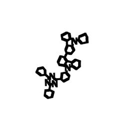 c1ccc(-c2nc(-c3ccccc3)nc(-c3cccc(-n4c5ccccc5c5c(-c6ccc7c(c6)c6ccccc6n7-c6ccccc6)cccc54)c3)n2)cc1